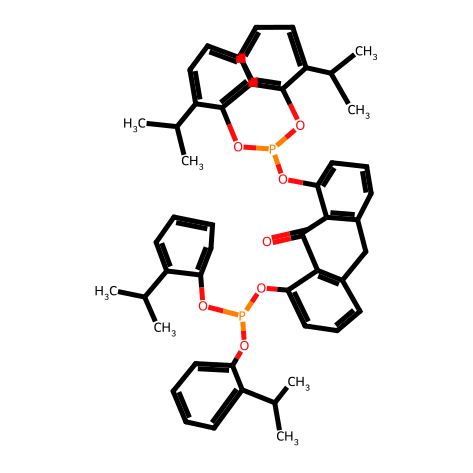 CC(C)c1ccccc1OP(Oc1ccccc1C(C)C)Oc1cccc2c1C(=O)c1c(cccc1OP(Oc1ccccc1C(C)C)Oc1ccccc1C(C)C)C2